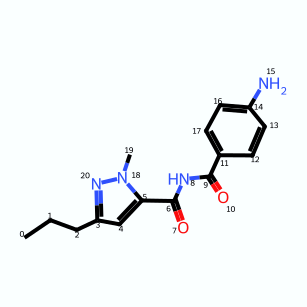 CCCc1cc(C(=O)NC(=O)c2ccc(N)cc2)n(C)n1